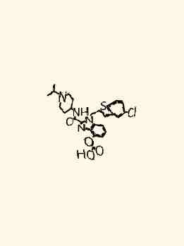 CC(C)N1CCC(NC(=O)c2nc3c(OC(=O)O)cccc3n2Cc2cc3cc(Cl)ccc3s2)CC1